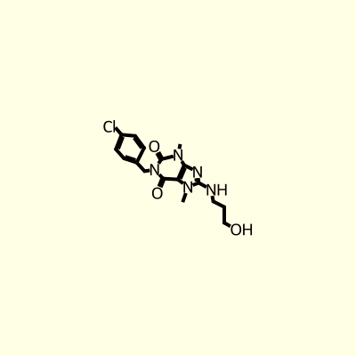 Cn1c(NCCCO)nc2c1c(=O)n(Cc1ccc(Cl)cc1)c(=O)n2C